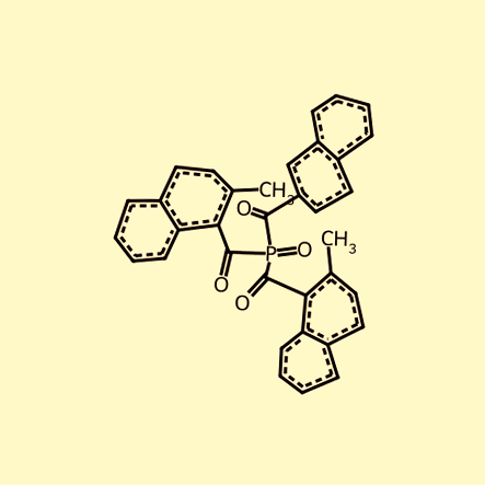 Cc1ccc2ccccc2c1C(=O)P(=O)(C(=O)c1ccc2ccccc2c1)C(=O)c1c(C)ccc2ccccc12